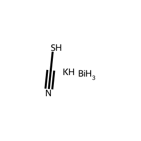 N#CS.[BiH3].[KH]